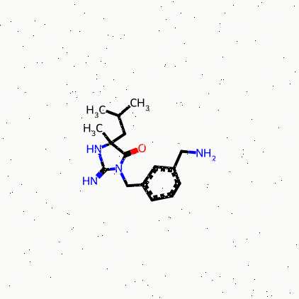 CC(C)CC1(C)NC(=N)N(Cc2cccc(CN)c2)C1=O